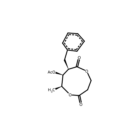 CC(=O)O[C@@H]1[C@H](C)OC(=O)CCOC(=O)[C@@H]1Cc1ccccc1